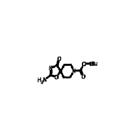 CC(C)(C)OC(=O)N1CCC2(CC1)OC(N)=NC2=O